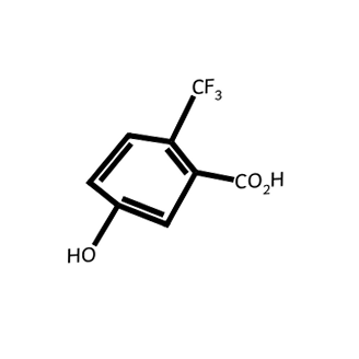 O=C(O)c1cc(O)ccc1C(F)(F)F